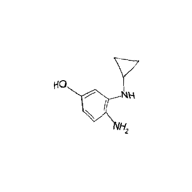 Nc1ccc(O)cc1NC1CC1